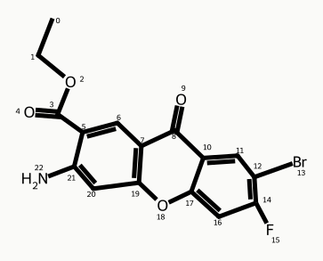 CCOC(=O)c1cc2c(=O)c3cc(Br)c(F)cc3oc2cc1N